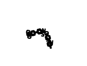 Cc1ccc(N2CCC(Oc3nc4ccc(-c5ccc(S(C)(=O)=O)cc5)cc4s3)CC2)nc1